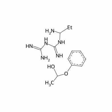 CC(O)Oc1ccccc1.CCC(N)NC(=N)NC(=N)N